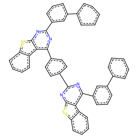 c1ccc(-c2cccc(-c3nc(-c4ccc(-c5nc(-c6cccc(-c7ccccc7)c6)c6c(n5)sc5ccccc56)cc4)c4c(n3)sc3ccccc34)c2)cc1